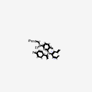 C=C/C=C(\C=C/C)N(C(=C)C1C=CC(F)=CC1)c1nc(N(CC)CC(C)CCC)ccc1C